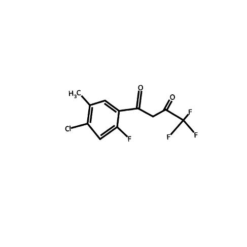 Cc1cc(C(=O)CC(=O)C(F)(F)F)c(F)cc1Cl